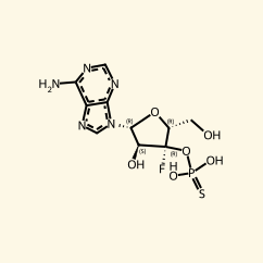 Nc1ncnc2c1ncn2[C@@H]1O[C@H](CO)[C@@](F)(OP(O)(O)=S)[C@H]1O